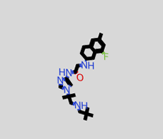 Cc1cc(F)c2c(c1)CC[C@H](NCC(=O)Nc1cn(C(C)(C)CNCC(C)(C)C)cn1)C2